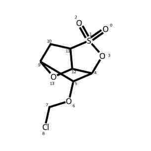 O=S1(=O)OC2C(OCCl)C3CC1C2O3